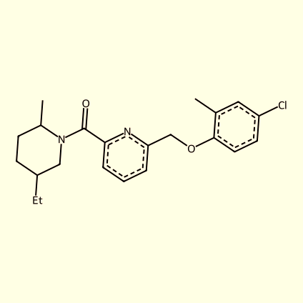 CCC1CCC(C)N(C(=O)c2cccc(COc3ccc(Cl)cc3C)n2)C1